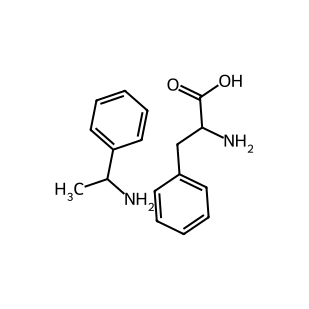 CC(N)c1ccccc1.NC(Cc1ccccc1)C(=O)O